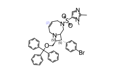 Cc1ncc(S(=O)(=O)N2C/C=C\CN3C(C2)[C@H](c2ccc(Br)cc2)[C@H]3COC(c2ccccc2)(c2ccccc2)c2ccccc2)n1C